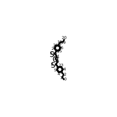 CCCc1ccc(C(=S)COCC(=S)c2ccc(CCC)cc2)cc1